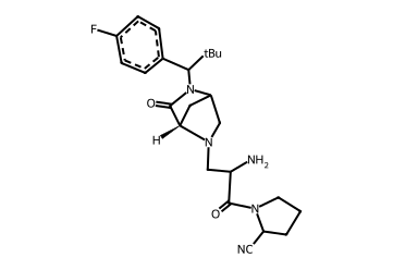 CC(C)(C)C(c1ccc(F)cc1)N1C(=O)[C@@H]2CC1CN2CC(N)C(=O)N1CCCC1C#N